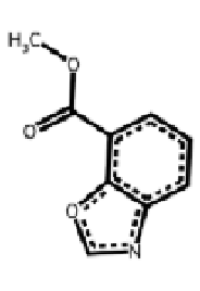 COC(=O)c1cccc2ncoc12